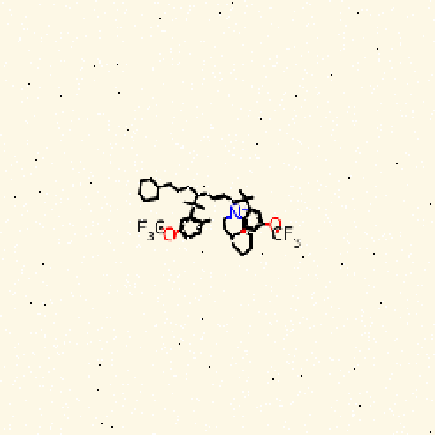 Cc1ccc(OC(F)(F)F)cc1C(C)(C)/C(=C\C=C\C1=[N+](CCC2CCCCC2)c2ccc(OC(F)(F)F)cc2C1(C)C)CCCC1CCCCC1